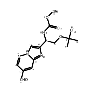 CC(C)(C)OC(=O)N[C@@H](COC(C)(C)C(F)(F)F)c1cn2ncc(C=O)cc2n1